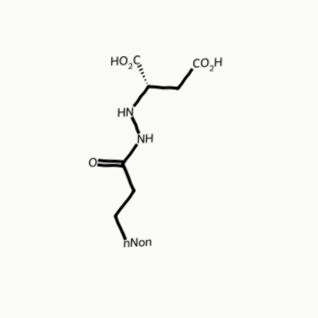 CCCCCCCCCCCC(=O)NN[C@@H](CC(=O)O)C(=O)O